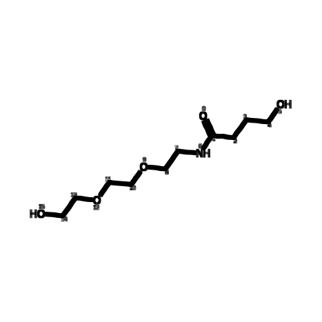 O=C(CCCO)NCCOCCOCCO